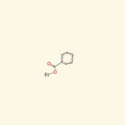 [CH2]COC(=O)c1[c]cccc1